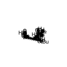 Cn1c(=O)n(C2CCC(=O)NC2=O)c2ccc(CCCCCc3cc4c5c(c3)C[C@@H](C(=O)N[C@@H](CCC(N)=O)C(=O)NC(c3ccccc3)c3ccccc3)N5C(=O)[C@@H](NC(=O)OC(C)(C)C)CC4)cc21